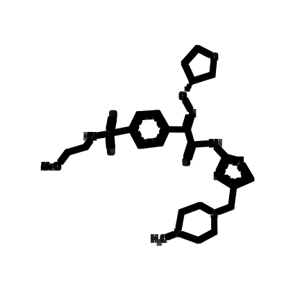 COCCNS(=O)(=O)c1ccc(/C(=N\O[C@@H]2CCOC2)C(=O)Nc2ncc(CN3CCN(C)CC3)s2)cc1